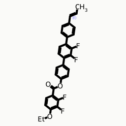 C/C=C/c1ccc(-c2ccc(-c3ccc(OC(=O)c4ccc(OCC)c(F)c4F)cc3)c(F)c2F)cc1